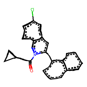 O=C(C1CC1)n1c(-c2cccc3ccccc23)cc2cc(Cl)ccc21